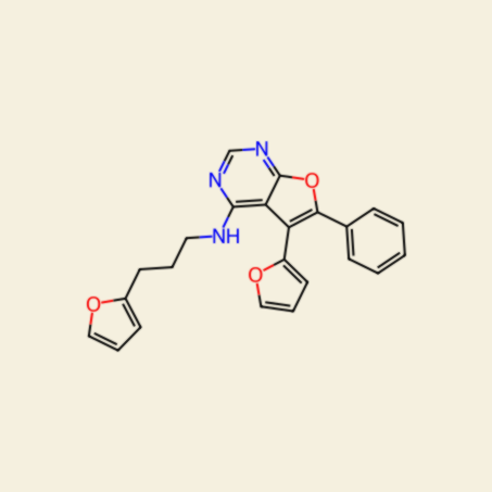 c1ccc(-c2oc3ncnc(NCCCc4ccco4)c3c2-c2ccco2)cc1